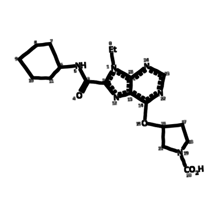 CCn1c(C(=O)NC2CCCCC2)nc2c(OC3CCN(C(=O)O)C3)ncnc21